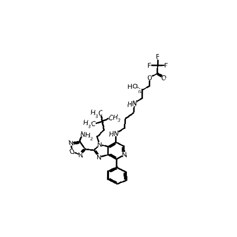 CC(C)(C)CCn1c(-c2nonc2N)nc2c(-c3ccccc3)ncc(NCCCNC[C@H](O)COC(=O)C(F)(F)F)c21